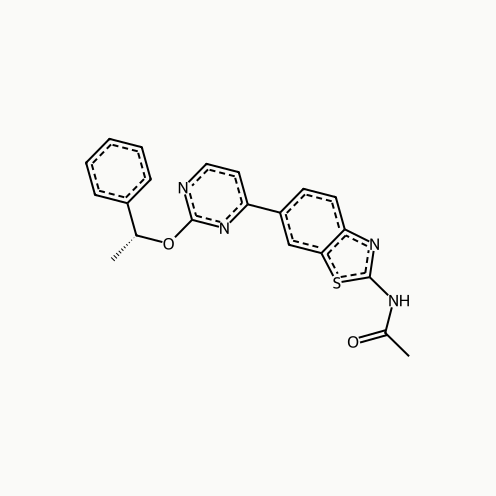 CC(=O)Nc1nc2ccc(-c3ccnc(O[C@H](C)c4ccccc4)n3)cc2s1